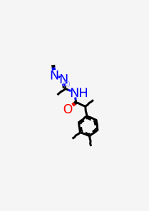 C=N/N=C(\C)NC(=O)C(C)c1ccc(C)c(C)c1